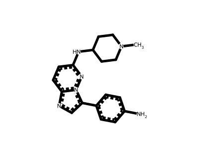 CN1CCC(Nc2ccc3ncc(-c4ccc(N)cc4)n3n2)CC1